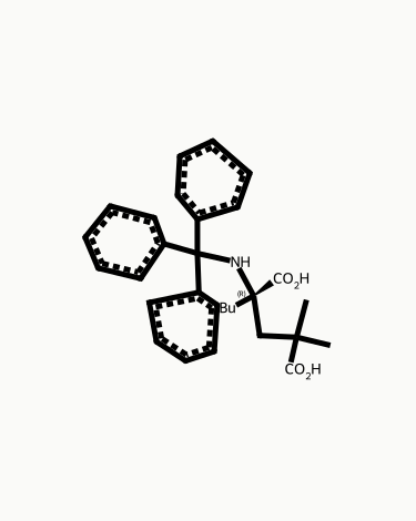 CC(C)(C[C@](NC(c1ccccc1)(c1ccccc1)c1ccccc1)(C(=O)O)C(C)(C)C)C(=O)O